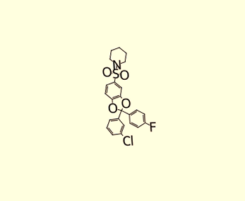 O=S(=O)(c1ccc2c(c1)OC(c1ccc(F)cc1)(c1cccc(Cl)c1)O2)N1CCCCC1